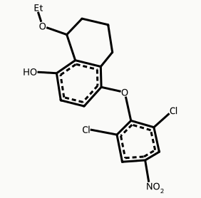 CCOC1CCCc2c(Oc3c(Cl)cc([N+](=O)[O-])cc3Cl)ccc(O)c21